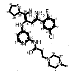 CN1CCN(CCC(=O)Nc2cc(NC(/C=C(\N)c3cc(Cl)ccc3F)=C(/N)C3CCCS3)ccn2)CC1